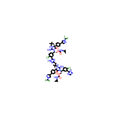 Cn1ncnc1-c1cc([C@@H](COC(=O)NC2CC2)N2C(=N)N[C@](CC(C)(C)Cc3n[nH]c(-c4cc([C@@H](COC(=O)NC5CC5)N5C(=N)N[C@](CC(C)(C)C)(c6ccc(-c7cnn(C(F)F)c7)cc6)C5=O)ccc4Cl)n3)(c3ccc(-c4cnn(C(F)F)c4)cc3)C2=O)ccc1Cl